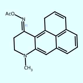 CC(=O)O/N=C1\CCN(C)c2cc3cccc4c3c(c21)CC=C4